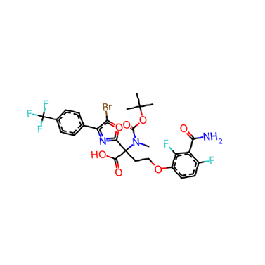 CN(C(=O)OC(C)(C)C)C(CCOc1ccc(F)c(C(N)=O)c1F)(C(=O)O)c1nc(-c2ccc(C(F)(F)F)cc2)c(Br)o1